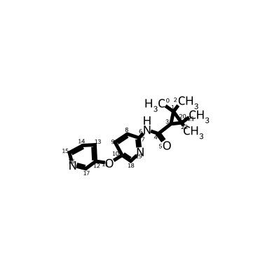 CC1(C)C(C(=O)Nc2ccc(Oc3cccnc3)cn2)C1(C)C